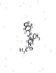 C=CC(=O)N1C[C@@H](C)[C@H](/C=C/c2ccc(C(F)(F)F)cc2)C1